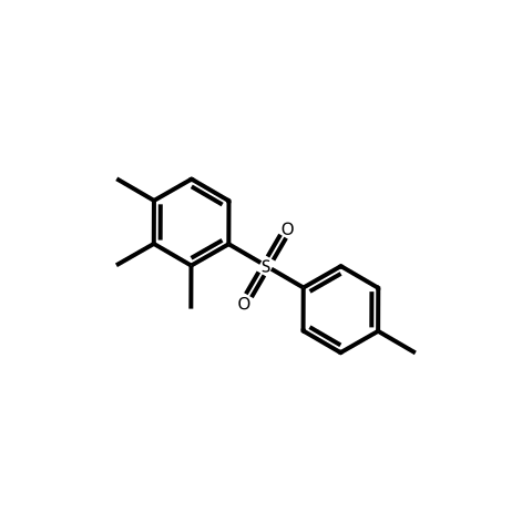 Cc1ccc(S(=O)(=O)c2ccc(C)c(C)c2C)cc1